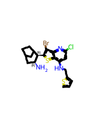 N[C@@H]1CC2CCC(C2)[C@H]1c1sc2c(NCc3cccs3)cc(Cl)nc2c1Br